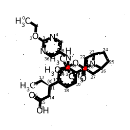 CCOc1ncc(Nc2cc([C@H](CC)CC(=O)O)ccc2C2=CC3CCC(C2)N3C(=O)OC(C)(C)C)cn1